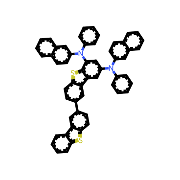 c1ccc(N(c2ccc3ccccc3c2)c2cc(N(c3ccccc3)c3ccc4ccccc4c3)c3sc4ccc(-c5ccc6sc7ccccc7c6c5)cc4c3c2)cc1